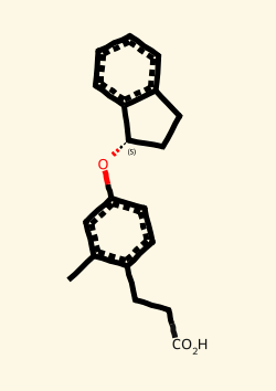 Cc1cc(O[C@H]2CCc3ccccc32)ccc1CCC(=O)O